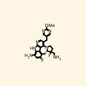 COc1ncc(Cc2cnc3[nH]c4c(N)cc(F)c(F)c4c3c2N2CCC(F)(CN)C2)cn1